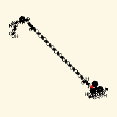 CC/N=c1\ccc2c(-c3ccccc3C(=O)N(C)CCCC(=O)NCCOCCOCCOCCOCCOCCOCCOCCOCCOCCOCCOCCOCCC(=O)CCCNC(=O)c3cccc(OCC(N=[N+]=[N-])OCCOCC(=O)O)c3)c3ccc(NCC)c(S(=O)(=O)O)c3oc-2c1S(=O)(=O)O